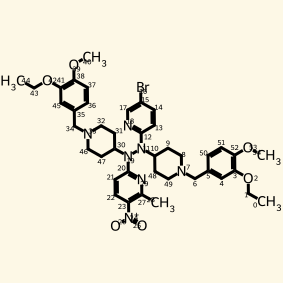 CCOc1cc(CN2CCC(N(c3ccc(Br)cn3)N(c3ccc([N+](=O)[O-])c(C)n3)C3CCN(Cc4ccc(OC)c(OCC)c4)CC3)CC2)ccc1OC